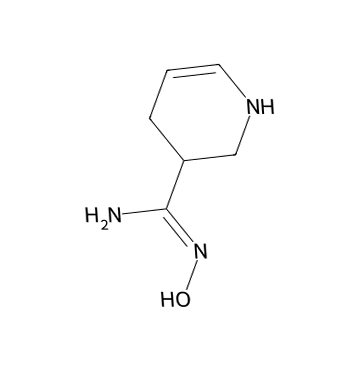 NC(=NO)C1CC=CNC1